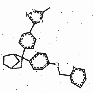 Cc1nnc(-c2ccc(C3(c4ccc(OCc5ccccn5)cc4)CC4CCC3C4)cc2)o1